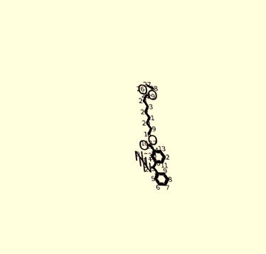 [N-]=[N+]=NC(c1ccccc1)c1cccc(C(=O)OCCCCCCCC2OCCO2)c1